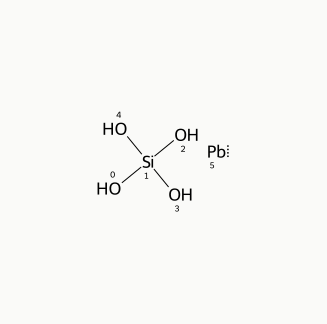 O[Si](O)(O)O.[Pb]